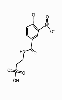 O=C(NCCS(=O)(=O)O)c1ccc(Cl)c([N+](=O)[O-])c1